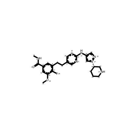 CNC(=O)c1cc(CCc2cnc(Nc3cnn([C@H]4CCCNC4)c3)nc2)c(F)c(OC)c1